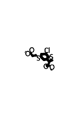 COC(=O)CCSc1cc(Cl)c2scc(C(=O)OC)c2c1